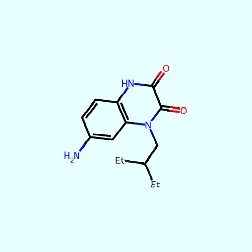 CCC(CC)Cn1c(=O)c(=O)[nH]c2ccc(N)cc21